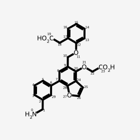 NCc1cccc(-c2cc(COc3ccccc3CC(=O)O)c(OCC(=O)O)c3ccoc23)c1